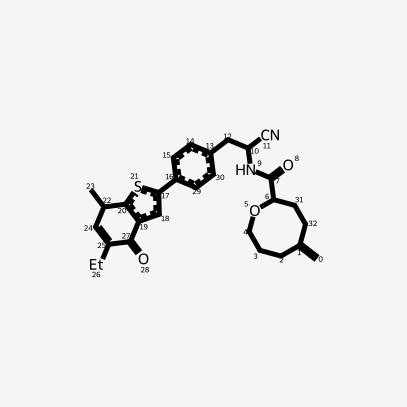 C=C1CCCOC(C(=O)NC(C#N)Cc2ccc(-c3cc4c(s3)C(C)C=C(CC)C4=O)cc2)CC1